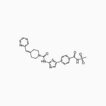 CS(=O)(=O)NC(=O)c1ccc(-c2cnc(NC(=O)N3CCC(=Cc4ccccn4)CC3)s2)cc1